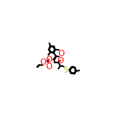 C=CCOC(=O)OC1=C(c2c(C)cc(C)cc2C)C(=O)OC(C(C)CSc2ccc(C)cc2)C1